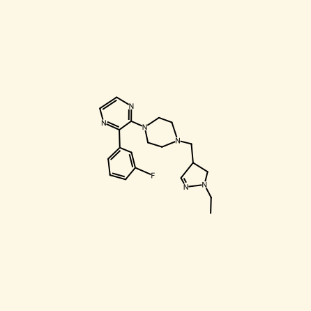 CCN1CC(CN2CCN(c3nccnc3-c3cccc(F)c3)CC2)C=N1